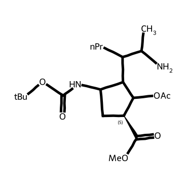 CCCC(C(C)N)C1C(NC(=O)OC(C)(C)C)C[C@H](C(=O)OC)C1OC(C)=O